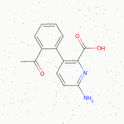 CC(=O)c1ccccc1-c1ccc(N)nc1C(=O)O